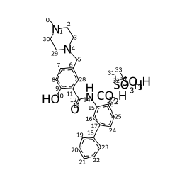 CN1CCN(Cc2ccc(O)c(C(=O)Nc3cc(-c4ccccc4)ccc3C(=O)O)c2)CC1.CS(=O)(=O)O.CS(=O)(=O)O